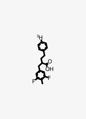 [3H]c1ccc(CCC(Cc2cc(F)c(C)c(F)c2)C(=O)O)cc1